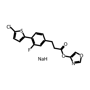 O=C(CCc1ccc(-c2ccc(Cl)s2)c(F)c1)Oc1cocn1.[NaH]